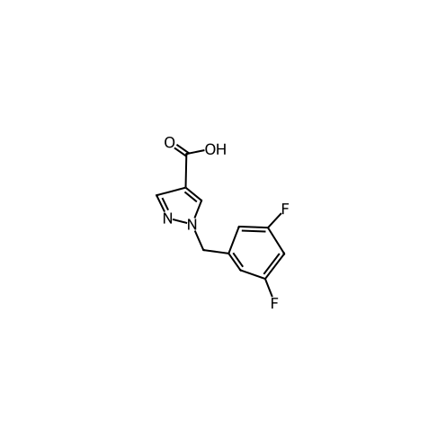 O=C(O)c1cnn(Cc2cc(F)cc(F)c2)c1